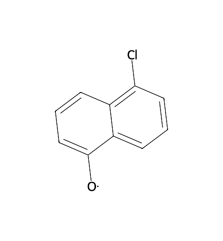 [O]c1cccc2c(Cl)cccc12